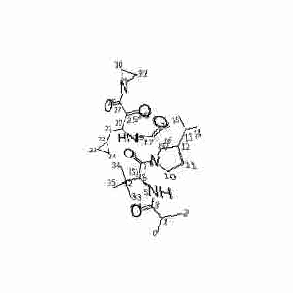 CC(C)C(=O)N[C@H](C(=O)N1CCC(C(C)C)[C@H]1C(=O)NC(CC1CC1)C(=O)C(=O)N1CC1)C(C)(C)C